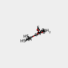 NS(=O)(=O)c1ccc(-n2nc(COCCCCCCCN(CCS)CCNCCS)cc2-c2ccc(F)cc2)cc1